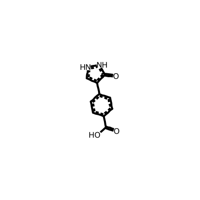 O=C(O)c1ccc(-c2c[nH][nH]c2=O)cc1